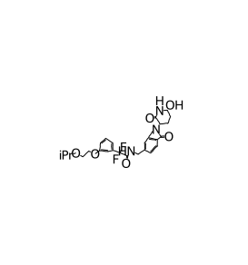 CC(C)OCCOc1cccc(C(F)(F)C(=O)NCc2ccc3c(c2)CN(C2CCC(O)NC2=O)C3=O)c1